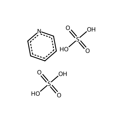 O=S(=O)(O)O.O=S(=O)(O)O.c1ccncc1